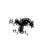 CCN1C(=O)c2c(O)c(=O)c(C(=O)NCc3ccc(F)cc3F)cn2N(C)C12CCC(P(=O)(OCOC(=O)OC(C)C)OCOC(=O)OC(C)C)C2